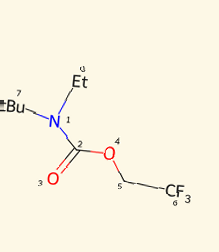 CCN(C(=O)OCC(F)(F)F)C(C)(C)C